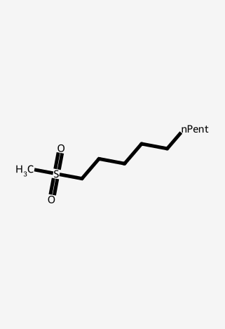 [CH2]CCCCCCCCCS(C)(=O)=O